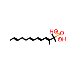 C/C=C/CC/C=C/C=C/C=C(\C)C(C)(C)P(=O)(O)O